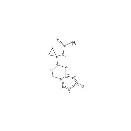 NC(=O)OC1(C2CCc3nnc(Cl)cc3C2)CC1